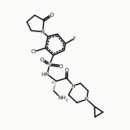 NC[C@H](NS(=O)(=O)c1cc(F)cc(N2CCCC2=O)c1Cl)C(=O)N1CCN(C2CC2)CC1